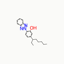 CCCCCC(CC)c1ccc(-n2nc3ccccc3n2)c(O)c1